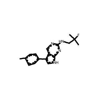 Cc1ccc(-c2c[nH]c3nc(NCC(C)(C)F)ncc23)cc1